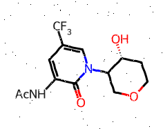 CC(=O)Nc1cc(C(F)(F)F)cn(C2COCC[C@H]2O)c1=O